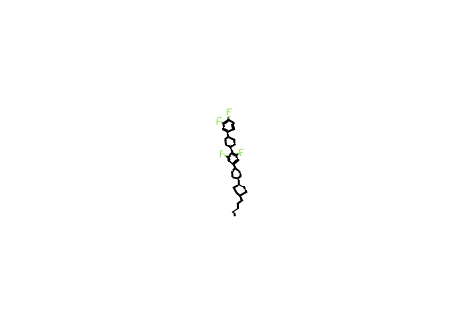 CCCCCC1CCC(C2CCC(c3cc(F)c(C4CCC(c5ccc(F)c(F)c5)CC4)c(F)c3)CC2)CC1